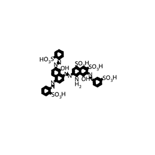 Nc1c(N=Nc2ccc(N=Nc3ccccc3S(=O)(=O)O)c3ccc(N=Nc4ccccc4S(=O)(=O)O)c(O)c23)cc(S(=O)(=O)O)c2cc(S(=O)(=O)O)c(N=Nc3cccc(S(=O)(=O)O)c3)c(O)c12